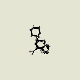 Cc1cc(N2CC=CCC2)nn2cnnc12